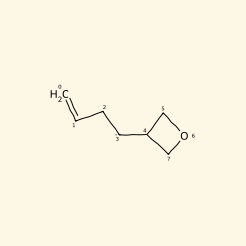 C=CC[CH]C1COC1